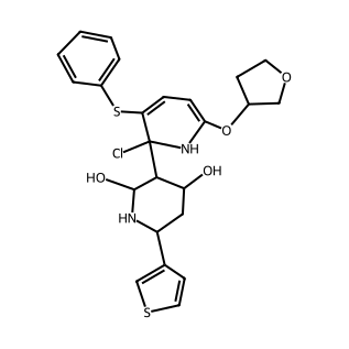 OC1CC(c2ccsc2)NC(O)C1C1(Cl)NC(OC2CCOC2)=CC=C1Sc1ccccc1